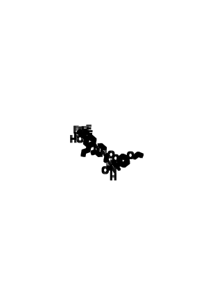 CCCOc1ccc([C@]2(C)NC(=O)N(CC(=O)N3CCN(c4ccc(C(O)(C(F)(F)F)C(F)(F)F)cc4CCC)C(C)C3)C2=O)cc1